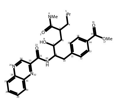 CNC(=O)C(CC(C)C)CC(O)C(Cc1ccc(C(=O)OC)cc1)NC(=O)c1cnc2ccccc2n1